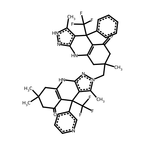 Cc1[nH]nc2c1C(c1ccccc1)(C(F)(F)F)C1=C(CC(C)(Cn3nc4c(c3C)C(c3cccnc3)(C(F)(F)F)C3=C(CC(C)(C)CC3=O)N4)CC1=O)N2